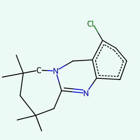 CC1(C)CC2=Nc3cccc(Cl)c3CN2CC(C)(C)C1